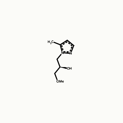 COC[C@H](O)Cn1n[c]cc1C